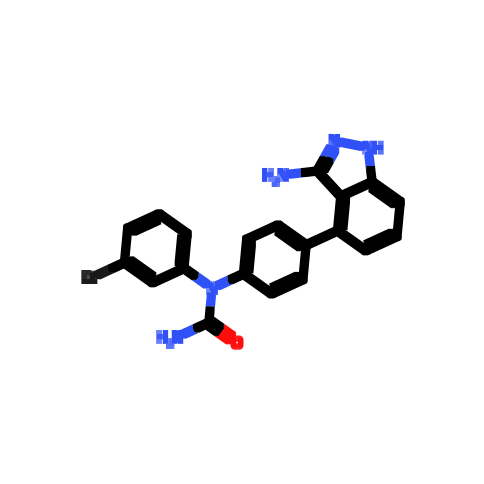 CCc1cccc(N(C(N)=O)c2ccc(-c3cccc4[nH]nc(N)c34)cc2)c1